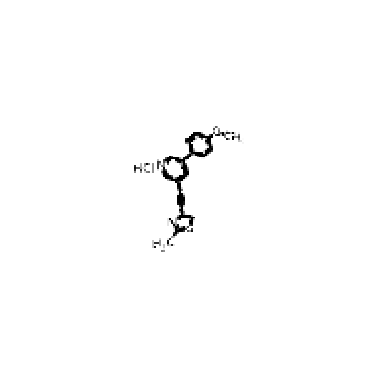 COc1ccc(-c2cncc(C#Cc3csc(C)n3)c2)cc1.Cl